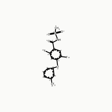 CS(=O)(=O)NC(=O)c1cc(F)c(Oc2cccc(C(F)(F)F)c2)cc1F